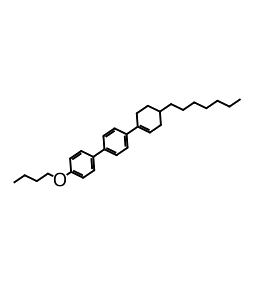 CCCCCCCC1CC=C(c2ccc(-c3ccc(OCCCC)cc3)cc2)CC1